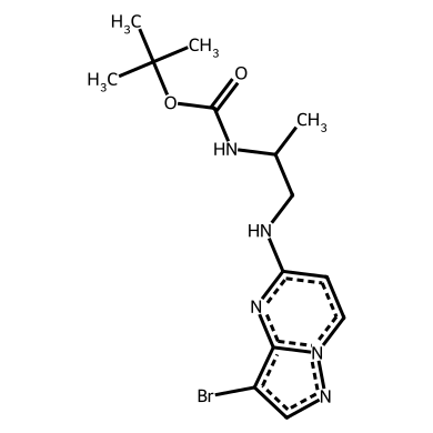 CC(CNc1ccn2ncc(Br)c2n1)NC(=O)OC(C)(C)C